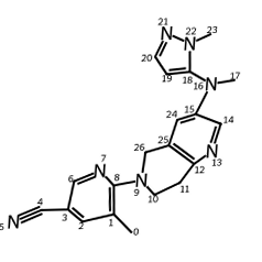 Cc1cc(C#N)cnc1N1CCc2ncc(N(C)c3ccnn3C)cc2C1